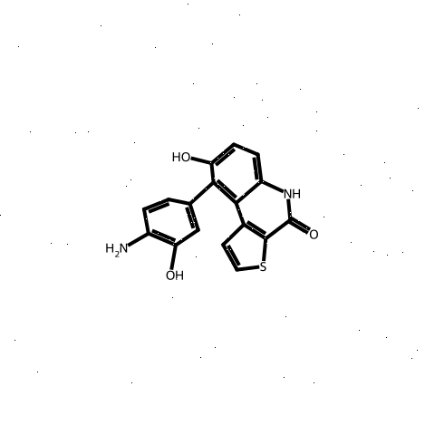 Nc1ccc(-c2c(O)ccc3[nH]c(=O)c4sccc4c23)cc1O